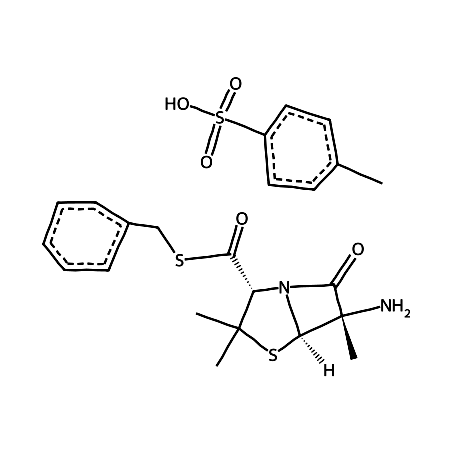 CC1(C)S[C@H]2N(C(=O)[C@]2(C)N)[C@H]1C(=O)SCc1ccccc1.Cc1ccc(S(=O)(=O)O)cc1